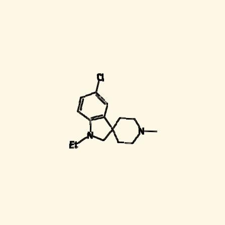 CCN1CC2(CCN(C)CC2)c2cc(Cl)ccc21